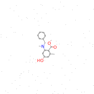 COC(=O)c1c(C)cc(O)cc1N(C)Cc1ccccc1